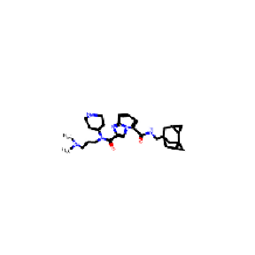 CN(C)CCCN(C(=O)c1cn2c(C(=O)NCC34CC5CC5C5(CC5C3)C4)cccc2n1)C1CCNCC1